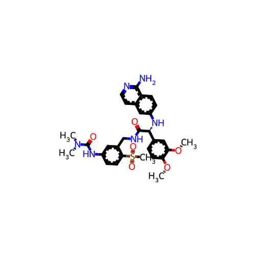 COc1ccc([C@@H](Nc2ccc3c(N)nccc3c2)C(=O)NCc2cc(NC(=O)N(C)C)ccc2S(C)(=O)=O)cc1OC